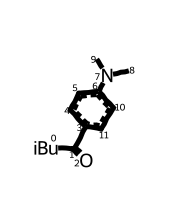 CCC(C)C(=O)c1ccc(N(C)C)cc1